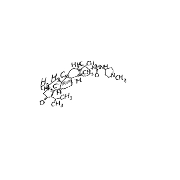 CC(C)C1=C2[C@H]3CC[C@@H]4[C@@]5(C)CCC(NC(=O)NC6CCN(C)CC6)C(C)(C)[C@@H]5CC[C@@]4(C)[C@]3(C)CC[C@@]2(C)CC1=O